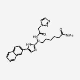 CNC(=O)CCCCC[C@H](NC(=O)Cn1ccnn1)c1ncc(-c2ccc3ccncc3c2)[nH]1